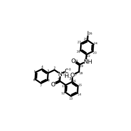 CN(Cc1ccccc1)C(=O)c1ccccc1OCC(=O)Nc1ccc(I)cc1